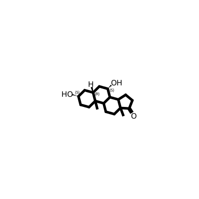 CC12CCC3C(C1CCC2=O)[C@@H](O)C[C@H]1C[C@@H](O)CCC31C